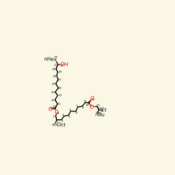 CCCCCCCCC(CCCCCCCCC(=O)OCC(CC)CCCC)COC(=O)CCCCCCCCCCC(O)CCCCCC